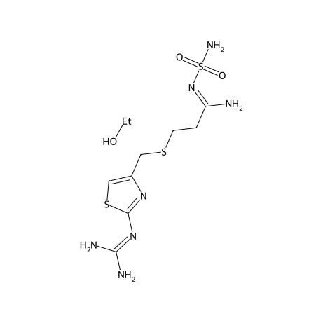 CCO.NC(N)=Nc1nc(CSCCC(N)=NS(N)(=O)=O)cs1